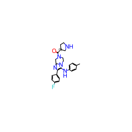 Cc1ccc(Nc2c(-c3ccc(F)cc3)nc3n2CCN(C(=O)[C@H]2CCNC2)C3)cc1